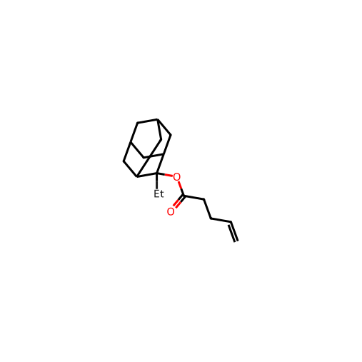 C=CCCC(=O)OC1(CC)C2CC3CC(C2)CC1C3